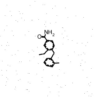 CCc1cc(C(N)=O)ccc1Cc1ccccc1C